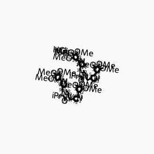 COc1cc(-c2cc(CN3CCN(Cc4ccnc(-c5cc(OC)c(OC)c(OC)c5)c4)C(C(C)C)C3=O)ccn2)cc(OC)c1OC.COc1cc(-c2cc(CN3CCN(Cc4ccnc(-c5cc(OC)c(OC)c(OC)c5)c4)[C@@H](C(C)C)C3=O)ccn2)cc(OC)c1OC.Cl.Cl.Cl